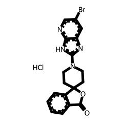 Cl.O=C1OC2(CCN(c3nc4cc(Br)cnc4[nH]3)CC2)c2ccccc21